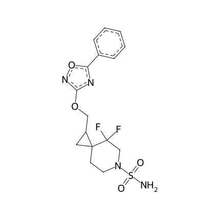 NS(=O)(=O)N1CCC2(CC2COc2noc(-c3ccccc3)n2)C(F)(F)C1